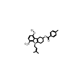 CCOc1ccc([N+](=O)[O-])c2c1c1c(n2CC=C(C)C)CCC(OC(=O)c2ccc(C)cc2)C1